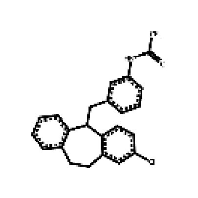 O=C(Nc1cccc(CC2c3ccccc3CCc3cc(Cl)ccc32)c1)C(F)(F)F